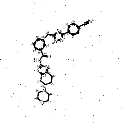 N#Cc1ccc(-c2nnc(Cc3cccc(C(=O)Nc4nc5c(s4)C[C@@H](N4CCOCC4)CC5)c3)s2)cc1